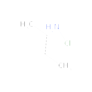 CCCC.NCl